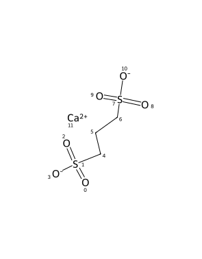 O=S(=O)([O-])CCCS(=O)(=O)[O-].[Ca+2]